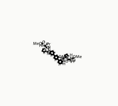 COC(=O)N[C@H](C(=O)N1CCC[C@H]1c1nc2cc(-c3ccc(-c4cccc5[nH]c([C@@H]6CCCN6C(=O)[C@@H](NC(=O)OC)C(C)C)nc45)c(OC)c3)ccc2[nH]1)C(C)C